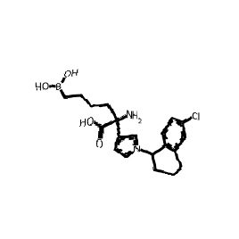 NC(CCCCB(O)O)(C(=O)O)c1ccn(C2CCCc3cc(Cl)ccc32)c1